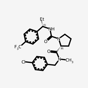 CC[C@H](NC(=O)N1CCC[C@@H]1C(=O)N(C)Cc1ccc(Cl)cc1)c1ccc(C(F)(F)F)cc1